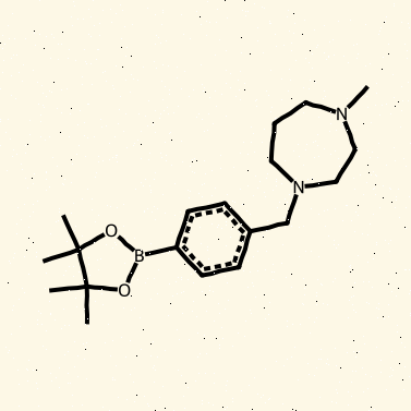 CN1CCCN(Cc2ccc(B3OC(C)(C)C(C)(C)O3)cc2)CC1